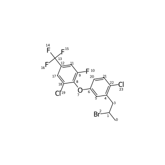 CC(Br)Cc1cc(Oc2c(F)cc(C(F)(F)F)cc2Cl)ccc1Cl